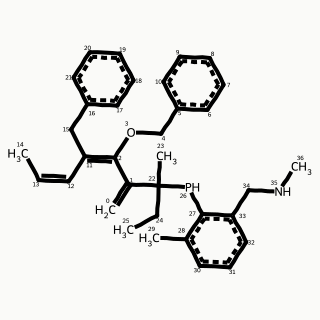 C=C(/C(OCc1ccccc1)=C(\C=C/C)Cc1ccccc1)C(C)(CC)Pc1c(C)cccc1CNC